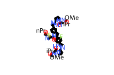 CCCOCc1ncc(C2Oc3cc(-c4cnc([C@@H]5CCCN5C(=O)C(NC(=O)OC)C(C)C)[nH]4)cc(F)c3-c3cc4cc(-c5cnc([C@@H]6CCCN6C(=O)C(NC(=O)OC)C(C)C)[nH]5)ccc4n32)s1